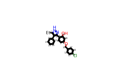 CCc1[nH]nc(-c2ccc(OCc3ccc(Cl)cc3)cc2O)c1-c1ccccc1